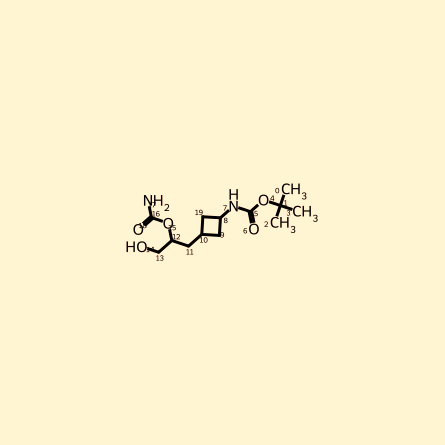 CC(C)(C)OC(=O)NC1CC(CC(CO)OC(N)=O)C1